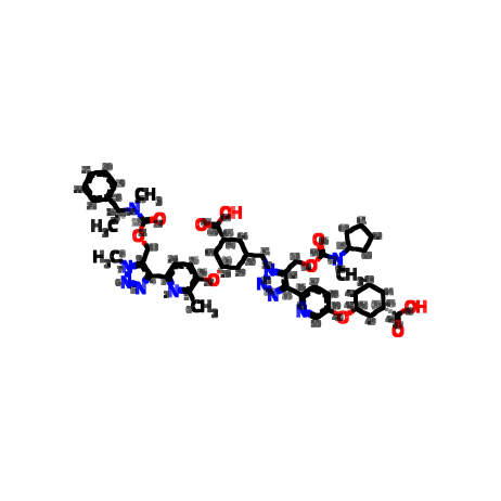 Cc1nc(-c2nnn(C)c2COC(=O)N(C)[C@H](C)c2ccccc2)ccc1O[C@H]1CC(Cn2nnc(-c3ccc(O[C@H]4CCC[C@H](C(=O)O)C4)cn3)c2COC(=O)N(C)C2CCCC2)C[C@H](C(=O)O)C1